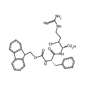 N=C(N)NCCC(Cl)[C@H](NC(=O)[C@H](Cc1ccccc1)NC(=O)OCC1c2ccccc2-c2ccccc21)C(=O)O